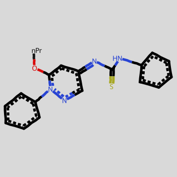 CCCOc1cc(=NC(=S)Nc2ccccc2)cnn1-c1ccccc1